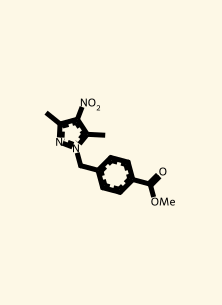 COC(=O)c1ccc(Cn2nc(C)c([N+](=O)[O-])c2C)cc1